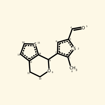 Cc1sc(C=O)cc1C1OCCc2ccsc21